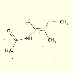 CC/C(C)=C(\C)NC(C)=O